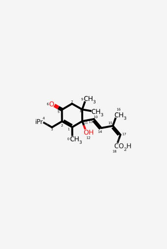 CC1=C(CC(C)C)C(=O)CC(C)(C)C1(O)/C=C/C(C)=C\C(=O)O